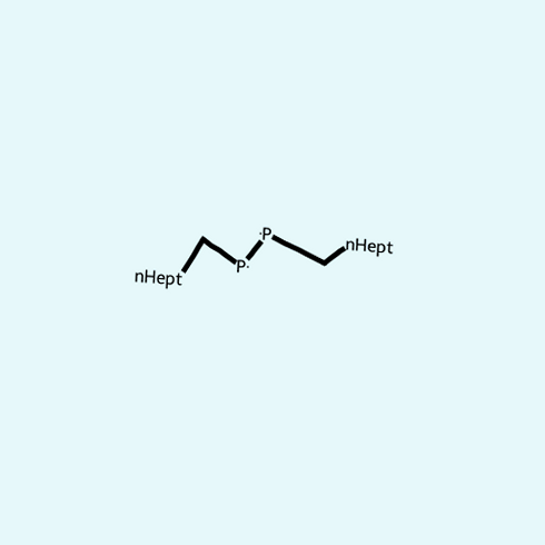 CCCCCCCC[P][P]CCCCCCCC